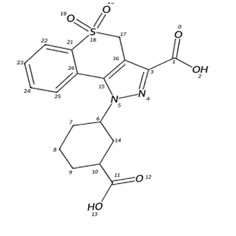 O=C(O)c1nn(C2CCCC(C(=O)O)C2)c2c1CS(=O)(=O)c1ccccc1-2